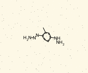 Cc1cc(NN)ccc1N=NN